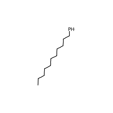 CCCCCCCCCCC[PH]